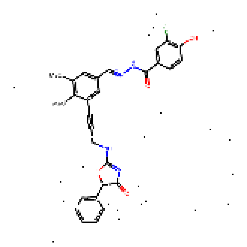 COc1cc(/C=N/NC(=O)c2ccc(O)c(Cl)c2)cc(C#CCNC2=NC(=O)C(c3ccccc3)O2)c1OC